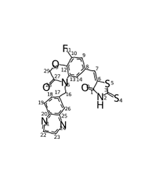 O=C1NC(=S)SC1=Cc1cc(F)c2c(c1)N(Cc1ccc3nccnc3c1)C(=O)CO2